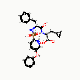 O=C(N[C@@H](CC1CC1)B(O)O)[C@H](Cc1ccccc1)NS(=O)(=O)c1ccc(Oc2ccccc2)cn1